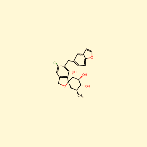 C[C@H]1C[C@]2(OCc3cc(Cl)c(Cc4ccc5occc5c4)cc32)[C@H](O)[C@@H](O)[C@@H]1O